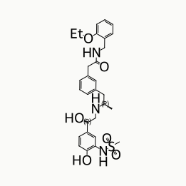 CCOc1ccccc1CNC(=O)Cc1cccc(C[C@@H](C)NC[C@H](O)c2ccc(O)c(NS(C)(=O)=O)c2)c1